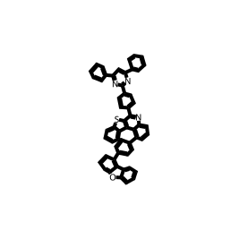 c1ccc(-c2cc(-c3ccccc3)nc(-c3ccc(-c4nc5cccc(-c6ccc(-c7cccc8oc9ccccc9c78)cc6)c5c5c4sc4ccccc45)cc3)n2)cc1